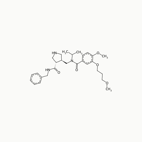 COCCCOc1cc(C(=O)N(C[C@@H]2CNC[C@H]2C(=O)NCc2ccccc2)C(C)C)ccc1OC